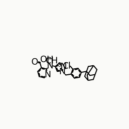 CN(c1cnn(Cc2ccc(C34CC5CC(CC(C5)C3)C4)cc2Cl)c1)c1ncccc1C(=O)O